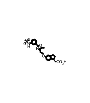 Cc1oc(-c2cccc(NS(C)(=O)=O)c2)nc1CCOc1ccc2c(c1)CC[C@H]2CC(=O)O